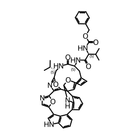 CC(C)[C@H](NC(=O)OCc1ccccc1)C(=O)N[C@H]1Cc2ccc3c(c2)C24c5cccc(c5NC2O3)-c2cccc3[nH]cc(c23)-c2cnc(o2)-c2nc(oc24)[C@H](C(C)C)NC1=O